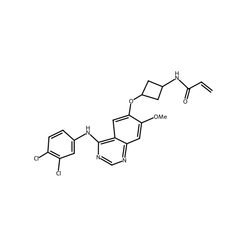 C=CC(=O)NC1CC(Oc2cc3c(Nc4ccc(Cl)c(Cl)c4)ncnc3cc2OC)C1